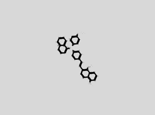 COc1ccc(N(c2ccc(C=Cc3ccc4c(C#N)cccc4c3C#N)cc2)c2cccc3ccccc23)cc1